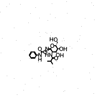 CC(C)C(=O)N[C@H]1/C(=N\OC(=O)Nc2ccccc2)O[C@H](CO)[C@@H](O)[C@@H]1O